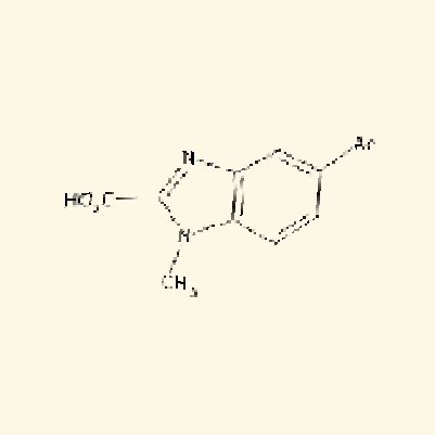 CC(=O)c1ccc2c(c1)nc(C(=O)O)n2C